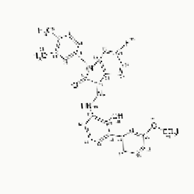 Cc1ccc(N2C(=O)C(=NNc3cccc(-c4cccc(OC(=O)O)c4)c3O)c3ccc(F)cc32)cc1C